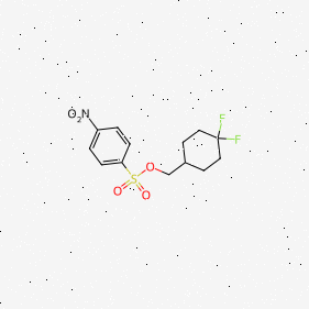 O=[N+]([O-])c1ccc(S(=O)(=O)OCC2CCC(F)(F)CC2)cc1